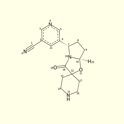 N#Cc1cncc([C@@H]2CC[C@H]3OC4(CCNCC4)C(=O)N32)c1